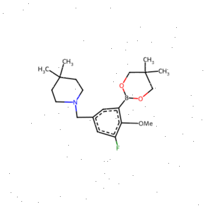 COc1c(F)cc(CN2CCC(C)(C)CC2)cc1B1OCC(C)(C)CO1